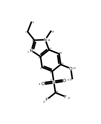 CCc1nc2cc(S(=O)(=O)C(F)F)c(OC)cc2n1C